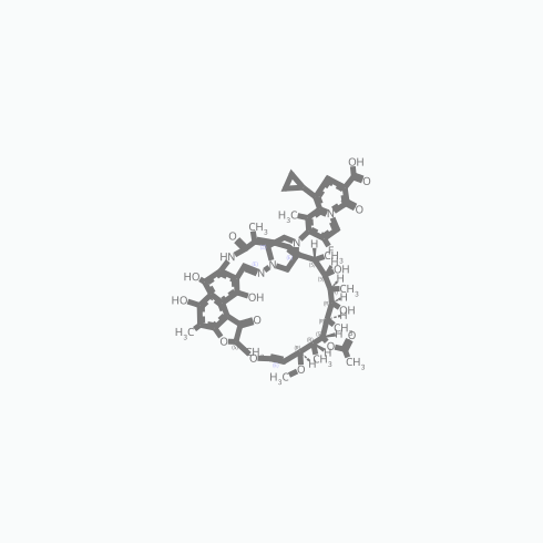 CO[C@H]1/C=C/O[C@@]2(C)Oc3c(C)c(O)c4c(O)c(c(/C=N/N5CCN(c6c(F)cn7c(=O)c(C(=O)O)cc(C8CC8)c7c6C)CC5)c(O)c4c3C2=O)NC(=O)/C(C)=C\C=C\[C@H](C)[C@H](O)[C@@H](C)[C@@H](O)[C@@H](C)[C@H](OC(C)=O)[C@@H]1C